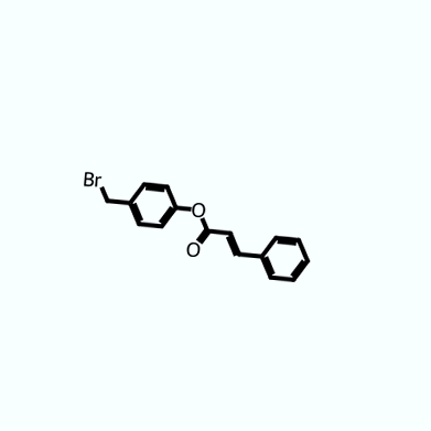 O=C(C=Cc1ccccc1)Oc1ccc(CBr)cc1